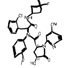 N#Cc1ccnc(N2C(=O)[C@@H](O)C[C@H]2C(=O)N(c2cccc(F)c2)C(C(=O)NC2CC(F)(F)C2)c2ccccc2Cl)c1